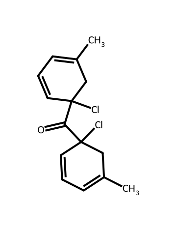 CC1=CC=CC(Cl)(C(=O)C2(Cl)C=CC=C(C)C2)C1